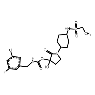 CCS(=O)(=O)NC1CCC(N2CCC(O)(OC(=O)NCc3cc(F)cc(Cl)c3)C2=O)CC1